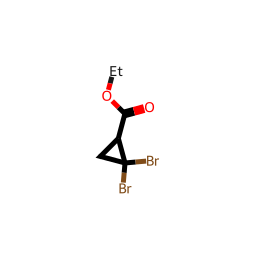 CCOC(=O)C1CC1(Br)Br